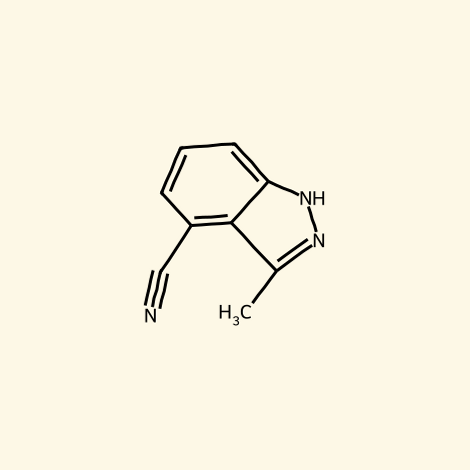 Cc1n[nH]c2cccc(C#N)c12